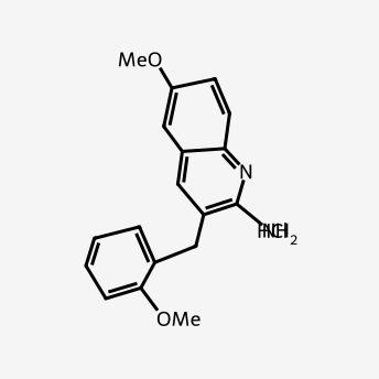 COc1ccc2nc(N)c(Cc3ccccc3OC)cc2c1.Cl